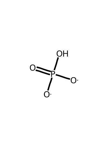 [O]P([O])(=O)O